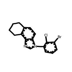 Clc1c(Br)cccc1-n1cnc2c3c(ccc21)CCCC3